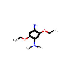 CCOc1cc(N(C)C)c(OCC)cc1N